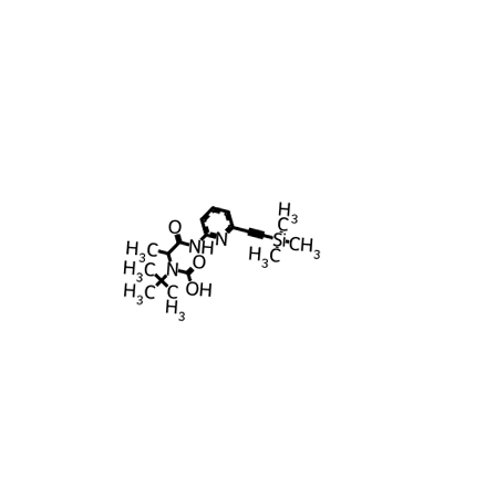 CC(C(=O)Nc1cccc(C#C[Si](C)(C)C)n1)N(C(=O)O)C(C)(C)C